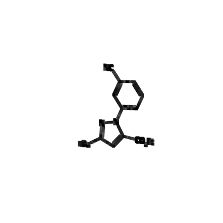 CCCCc1cc(C(=O)OCC)n(-c2cccc(C#N)c2)n1